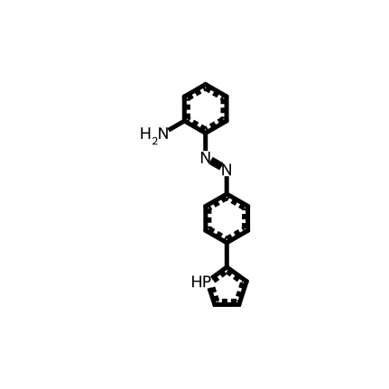 Nc1ccccc1N=Nc1ccc(-c2ccc[pH]2)cc1